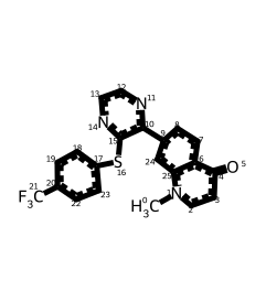 Cn1ccc(=O)c2ccc(-c3nccnc3Sc3ccc(C(F)(F)F)cc3)cc21